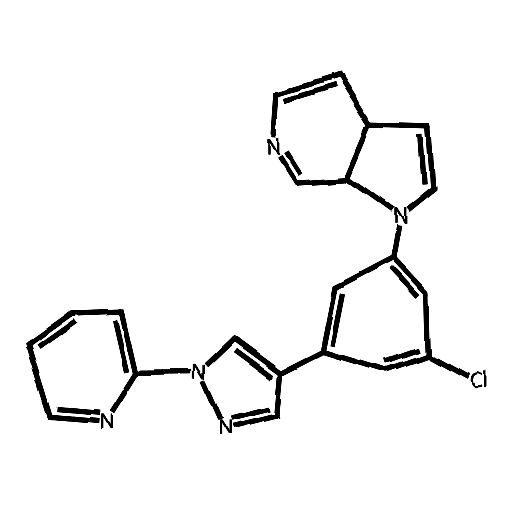 Clc1cc(-c2cnn(-c3ccccn3)c2)cc(N2C=CC3C=CN=CC32)c1